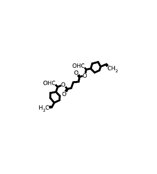 C=CC1CCC(C(C=O)OC(=O)CCCC(=O)OC(C=O)C2CCC(C=C)CC2)CC1